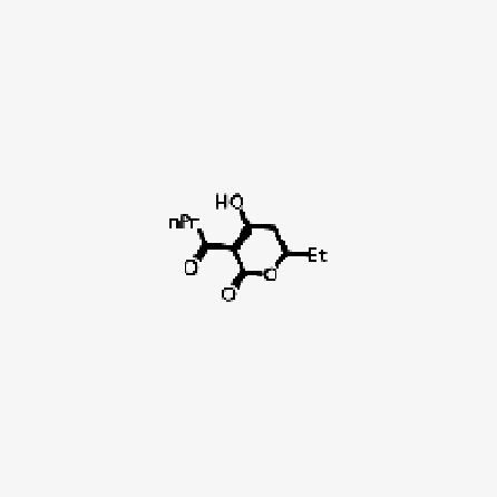 CCCC(=O)C1=C(O)CC(CC)OC1=O